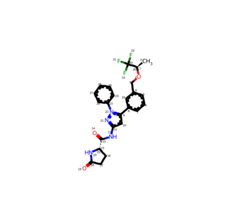 C[C@@H](OCc1cccc(-c2cc(NC(=O)[C@@H]3CCC(=O)N3)nn2-c2ccccc2)c1)C(F)(F)F